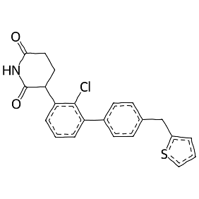 O=C1CCC(c2cccc(-c3ccc(Cc4cccs4)cc3)c2Cl)C(=O)N1